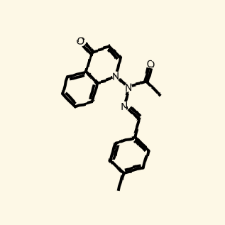 CC(=O)N(N=Cc1ccc(C)cc1)n1ccc(=O)c2ccccc21